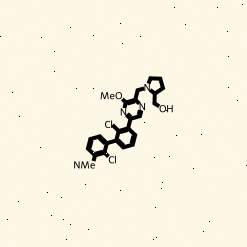 CNc1cccc(-c2cccc(-c3cnc(CN4CCCC4CO)c(OC)n3)c2Cl)c1Cl